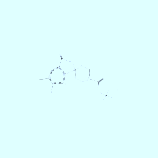 Cc1nc2c(cc1Cl)C(=O)OC21CCN(C(=O)OC(C)(C)C)CC1